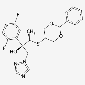 C[C@@H](SC1COC(c2ccccc2)OC1)[C@](O)(Cn1cncn1)c1cc(F)ccc1F